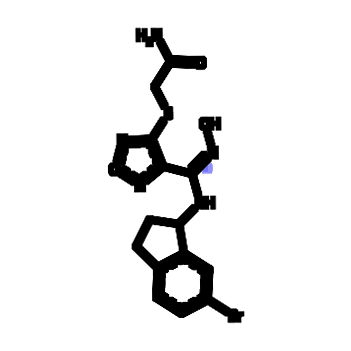 NC(=O)CSc1nonc1/C(=N\O)NC1CCc2ccc(Br)cc21